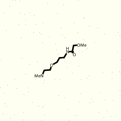 CNCCOCCCNC(=O)COC